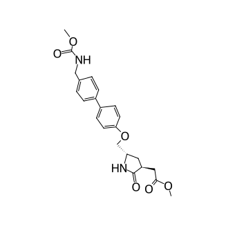 COC(=O)C[C@@H]1C[C@@H](COc2ccc(-c3ccc(CNC(=O)OC)cc3)cc2)NC1=O